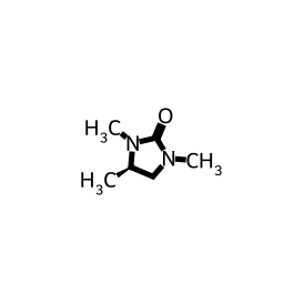 C[C@@H]1CN(C)C(=O)N1C